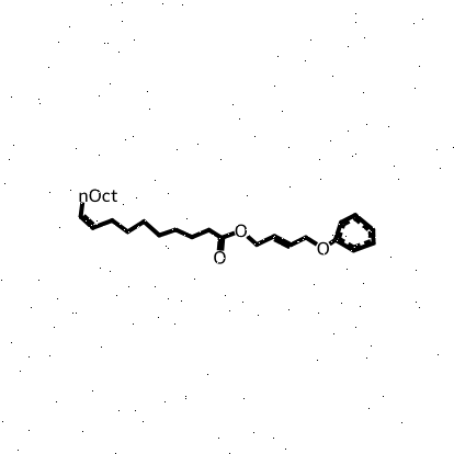 CCCCCCCC/C=C\CCCCCCCC(=O)OCC=CCOc1ccccc1